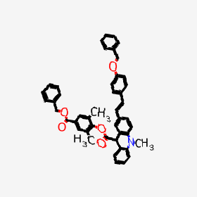 Cc1cc(C(=O)OCc2ccccc2)cc(C)c1OC(=O)C1c2ccccc2N(C)c2ccc(C=Cc3ccc(OCc4ccccc4)cc3)cc21